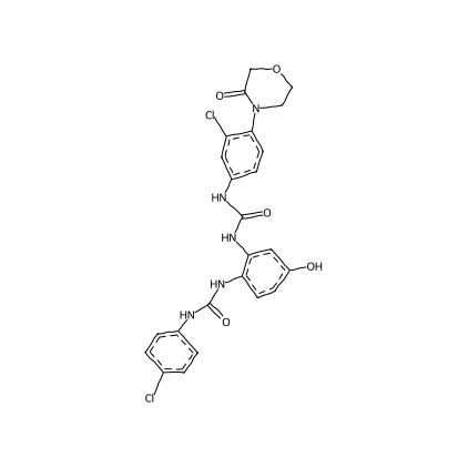 O=C(Nc1ccc(Cl)cc1)Nc1ccc(O)cc1NC(=O)Nc1ccc(N2CCOCC2=O)c(Cl)c1